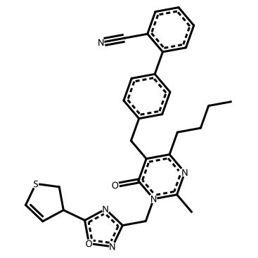 CCCCc1nc(C)n(Cc2noc(C3C=CSC3)n2)c(=O)c1Cc1ccc(-c2ccccc2C#N)cc1